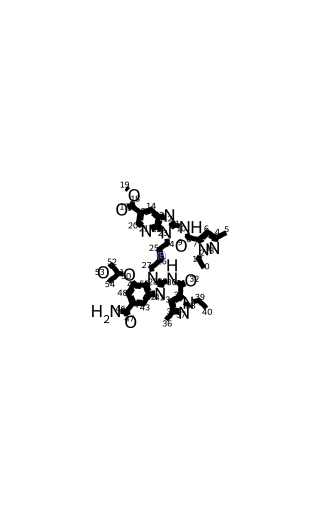 CCn1nc(C)cc1C(=O)Nc1nc2cc(C(=O)OC)cnc2n1C/C=C/Cn1c(NC(=O)c2cc(C)nn2CC)nc2cc(C(N)=O)cc(OC3COC3)c21